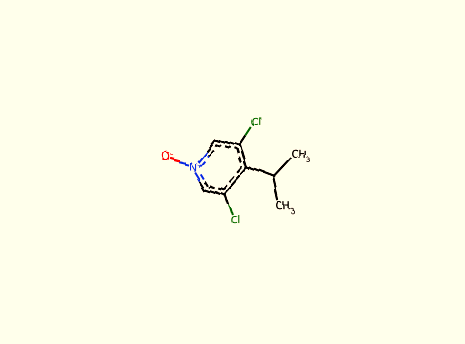 CC(C)c1c(Cl)c[n+]([O-])cc1Cl